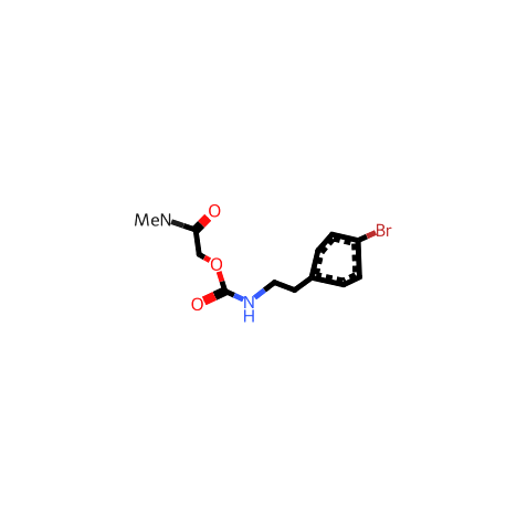 CNC(=O)COC(=O)NCCc1ccc(Br)cc1